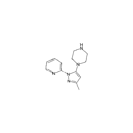 Cc1cc(N2CCNCC2)n(-c2ccccn2)n1